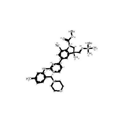 Cc1ccc(CN2CCOCC2)c(Nc2nccc(-c3cc(C#N)c4c(c3)[C@@](C)(CO[Si](C)(C)C(C)(C)C)CN4C(=O)OC(C)(C)C)n2)c1